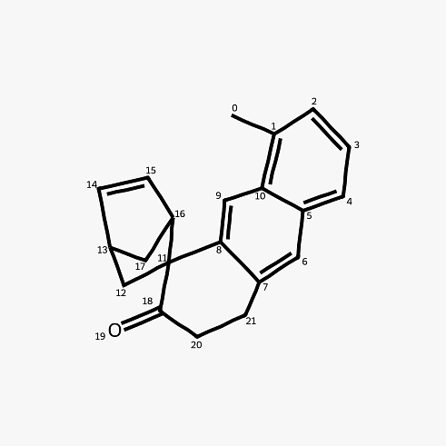 Cc1cccc2cc3c(cc12)C1(CC2C=CC1C2)C(=O)CC3